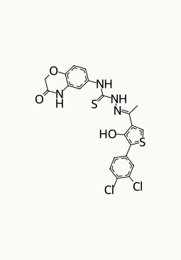 C/C(=N\NC(=S)Nc1ccc2c(c1)NC(=O)CO2)c1csc(-c2ccc(Cl)c(Cl)c2)c1O